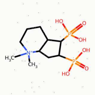 C[N+]1(C)CCCC2C1CC(P(=O)(O)O)C2P(=O)(O)O